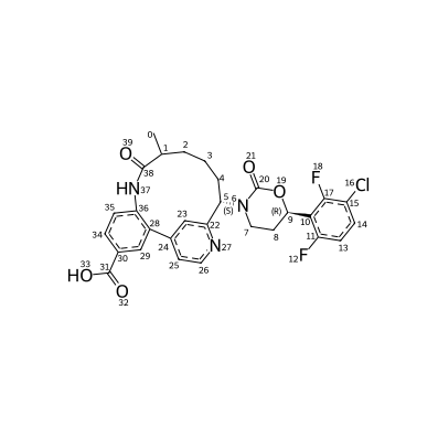 CC1CCC[C@H](N2CC[C@H](c3c(F)ccc(Cl)c3F)OC2=O)c2cc(ccn2)-c2cc(C(=O)O)ccc2NC1=O